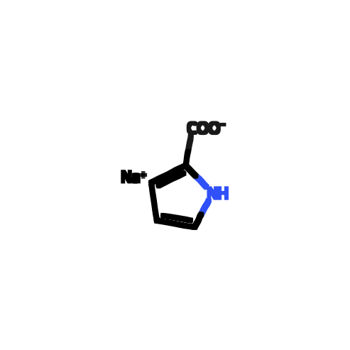 O=C([O-])c1ccc[nH]1.[Na+]